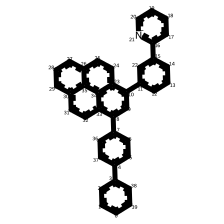 c1ccc(-c2ccc(-c3cc(-c4cccc(-c5ccccn5)c4)c4ccc5cccc6ccc3c4c65)cc2)cc1